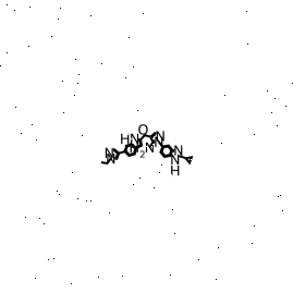 CCn1cc(-c2ccc3cc(C(=O)c4cnn(-c5ccc6[nH]c(C7CC7)nc6c5)c4N)[nH]c3c2)cn1